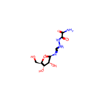 NC(=O)C(=O)NNC=N[C@@H]1O[C@H](CO)[C@@H](O)[C@H]1O